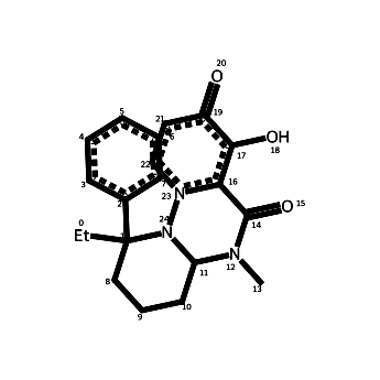 CCC1(c2ccccc2)CCCC2N(C)C(=O)c3c(O)c(=O)ccn3N21